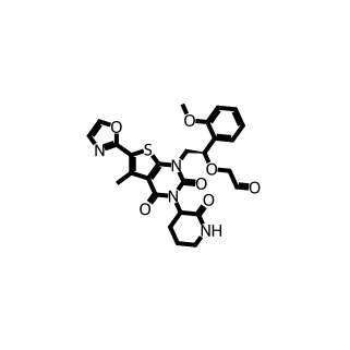 COc1ccccc1[C@H](Cn1c(=O)n(C2CCCNC2=O)c(=O)c2c(C)c(-c3ncco3)sc21)OCC=O